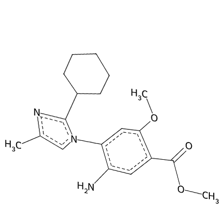 COC(=O)c1cc(N)c(-n2cc(C)nc2C2CCCCC2)cc1OC